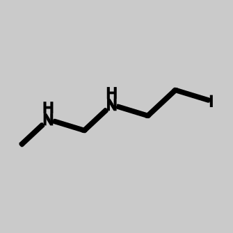 CNCNCCI